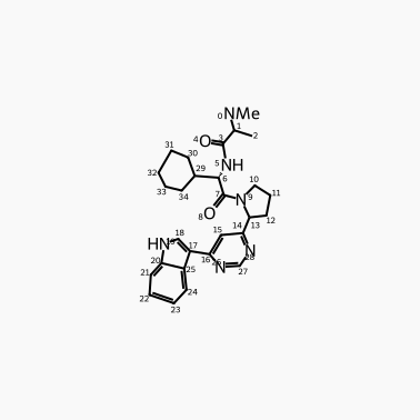 CNC(C)C(=O)N[C@H](C(=O)N1CCCC1c1cc(-c2c[nH]c3ccccc23)ncn1)C1CCCCC1